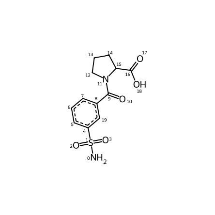 NS(=O)(=O)c1cccc(C(=O)N2CCCC2C(=O)O)c1